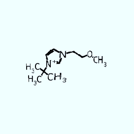 COCCn1cc[n+](C(C)(C)C)c1